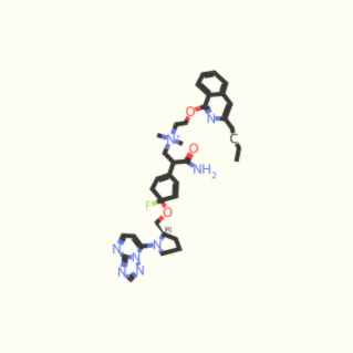 CCCCc1cc2ccccc2c(OCC[N+](C)(C)CC(C(N)=O)C2=CCC(F)(OC[C@H]3CCCN3c3ccnc4ncnn34)C=C2)n1